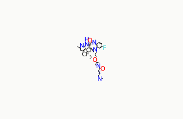 Cc1cc(C(F)(F)F)c(C#N)c(N[C@H]2CCN(CCCOC3CN(C(=O)/C=C/CN(C)C)C3)c3cc(F)ccc3N(C)C2=O)n1